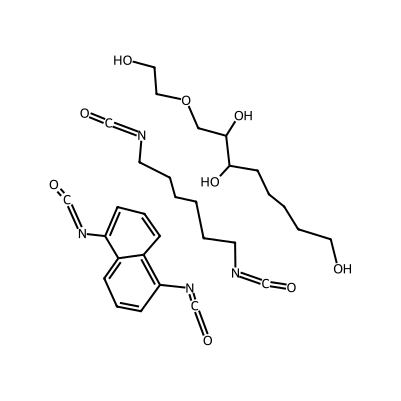 O=C=NCCCCCCN=C=O.O=C=Nc1cccc2c(N=C=O)cccc12.OCCCCCC(O)C(O)COCCO